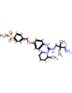 CC1CCCCN1/C(=N\c1ccc(OCc2ccc(S(C)(=O)=O)cc2)cc1)NCC(C)(C)CN